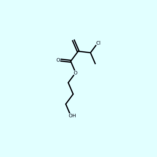 C=C(C(=O)OCCCO)C(C)Cl